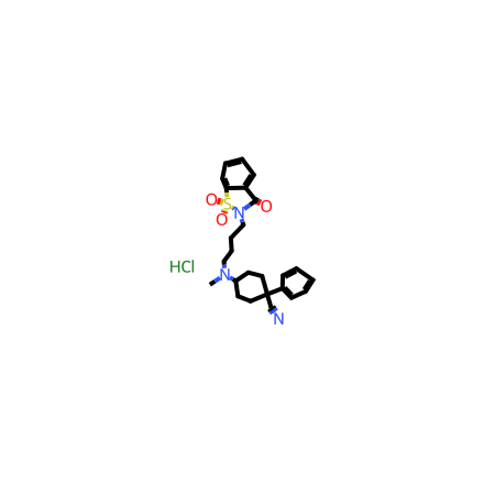 CN(CCCCN1C(=O)c2ccccc2S1(=O)=O)C1CCC(C#N)(c2ccccc2)CC1.Cl